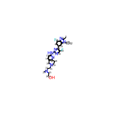 Cc1nc2c(F)cc(-c3nc(Nc4ccc5c(n4)CCN(CCN(C)CCO)C5)ncc3F)cc2n1C(C)(C)C